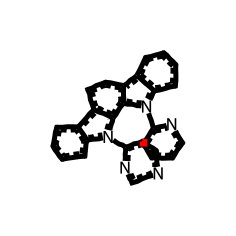 c1ccc(-n2c3ccccc3c3ccc4c5ccccc5n(-c5ccncn5)c4c32)nc1